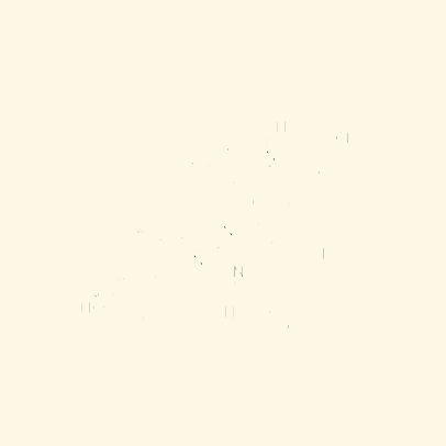 Cc1cccc(C)c1-c1cc(OCC(CC(C)C)NC2CC3(CC3)C2)nc(NSc2cccc(C(=O)O)c2)n1